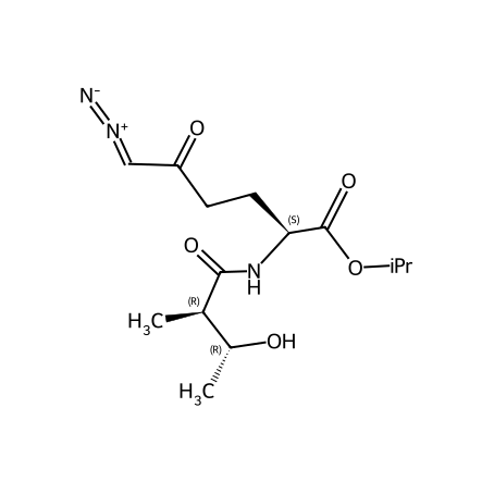 CC(C)OC(=O)[C@H](CCC(=O)C=[N+]=[N-])NC(=O)[C@H](C)[C@@H](C)O